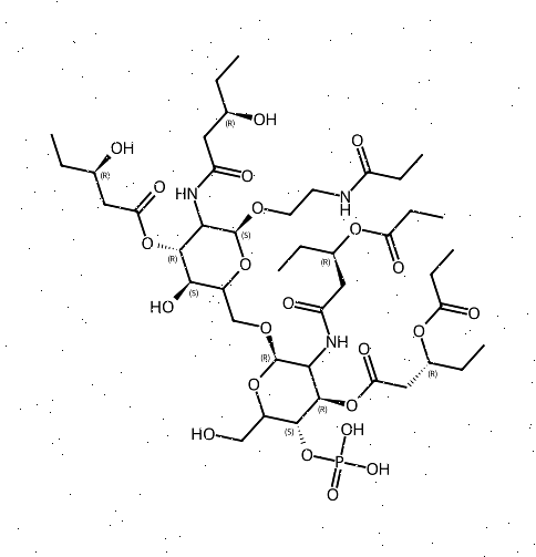 CCC(=O)NCCO[C@H]1OC(CO[C@@H]2OC(CO)[C@@H](OP(=O)(O)O)[C@H](OC(=O)C[C@@H](CC)OC(=O)CC)C2NC(=O)C[C@@H](CC)OC(=O)CC)[C@@H](O)[C@H](OC(=O)C[C@H](O)CC)C1NC(=O)C[C@H](O)CC